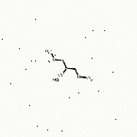 COCC(N)COC.Cl